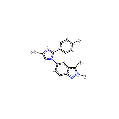 Cc1c2cc(-n3cc(C=O)nc3-c3ccc(C#N)cc3)ccc2nn1C